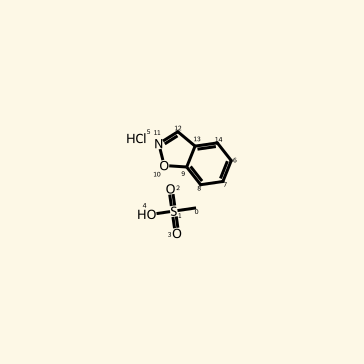 CS(=O)(=O)O.Cl.c1ccc2oncc2c1